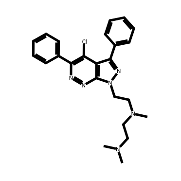 CN(C)CCN(C)CCn1nc(-c2ccccc2)c2c(Cl)c(-c3ccccc3)nnc21